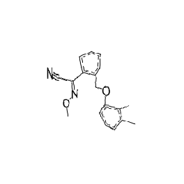 CON=C(C#N)c1ccccc1COc1cccc(C)c1C